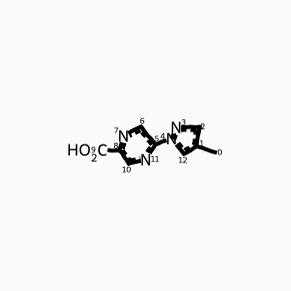 Cc1cnn(-c2cnc(C(=O)O)cn2)c1